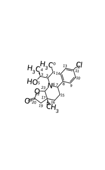 CCC([C@H](C)O)N1C(c2ccc(Cl)cc2)CC[C@]2(C)CC(=O)OC12